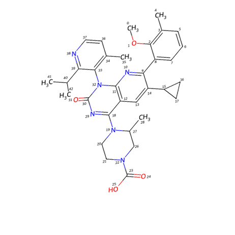 COc1c(C)cccc1-c1nc2c(cc1C1CC1)c(N1CCN(C(=O)O)CC1C)nc(=O)n2-c1c(C)ccnc1C(C)C